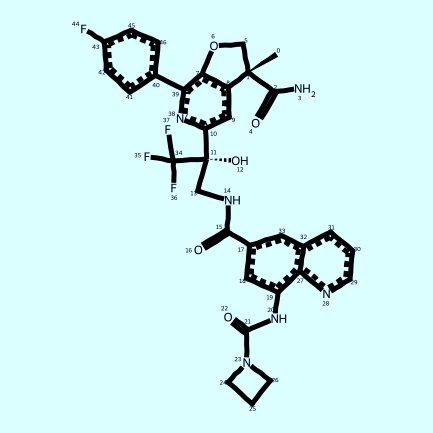 C[C@]1(C(N)=O)COc2c1cc([C@@](O)(CNC(=O)c1cc(NC(=O)N3CCC3)c3ncccc3c1)C(F)(F)F)nc2-c1ccc(F)cc1